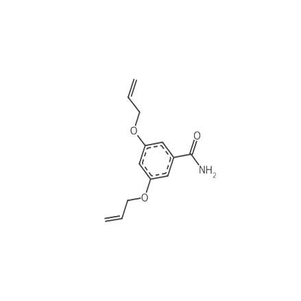 C=CCOc1cc(OCC=C)cc(C(N)=O)c1